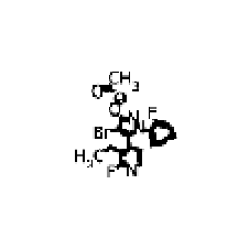 CCc1c(-c2c(Br)c(OOC(C)=O)nn2-c2ccccc2F)ccnc1F